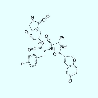 CC(C)C(NC(=O)C1=Cc2cc(Cl)ccc2OC1)C(=C=O)NC(Cc1ccc(F)cc1)C(=C=O)NC(C=C=O)C[C@@H]1CCNC1=C=O